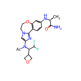 CC(=O)N(c1cn2c(n1)-c1ccc(N[C@@H](C)C(N)=O)cc1OCC2)C(C(F)F)C1COC1